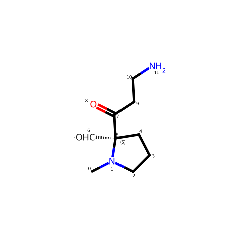 CN1CCC[C@]1([C]=O)C(=O)CCN